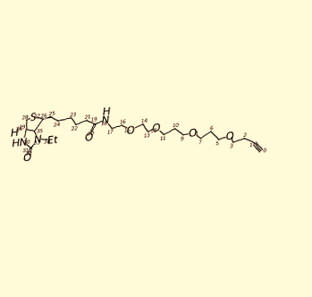 C#CCCOCCCOCCCOCCOCCNC(=O)CCCCC[C@@H]1SC[C@@H]2NC(=O)N(CC)C21